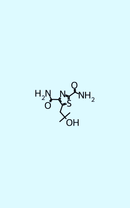 CC(C)(O)Cc1sc(C(N)=O)nc1C(N)=O